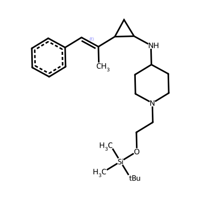 C/C(=C\c1ccccc1)C1CC1NC1CCN(CCO[Si](C)(C)C(C)(C)C)CC1